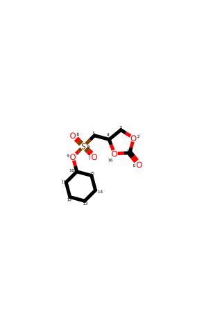 O=C1OCC(CS(=O)(=O)OC2CCCCC2)O1